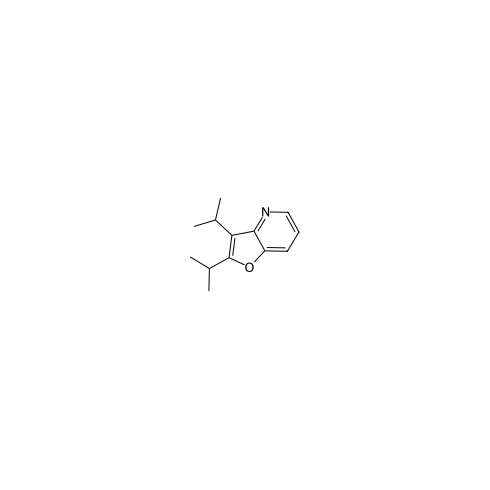 CC(C)c1oc2cccnc2c1C(C)C